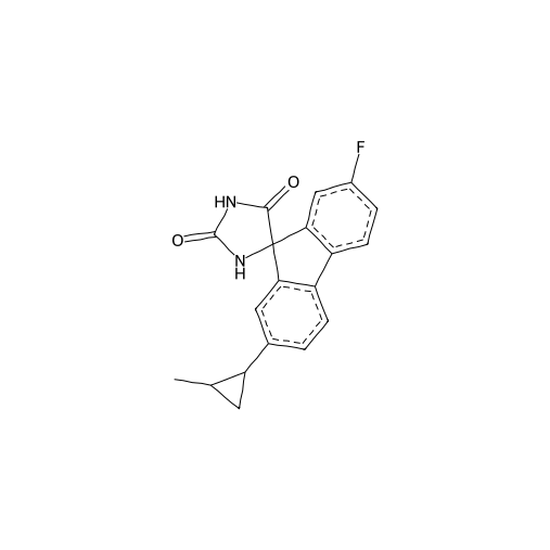 CC1CC1c1ccc2c(c1)C1(NC(=O)NC1=O)c1cc(F)ccc1-2